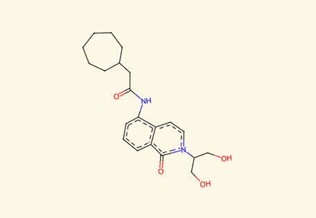 O=C(CC1CCCCCC1)Nc1cccc2c(=O)n(C(CO)CO)ccc12